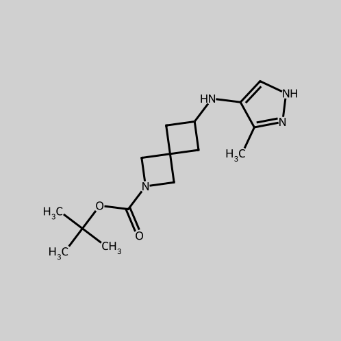 Cc1n[nH]cc1NC1CC2(C1)CN(C(=O)OC(C)(C)C)C2